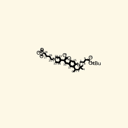 CC1CC(C)(C)N(CCCC(=O)OC(C)(C)C)c2cc3oc(=O)c(-c4cc[n+](CCCCS(=O)(=O)[O-])cc4)cc3cc21